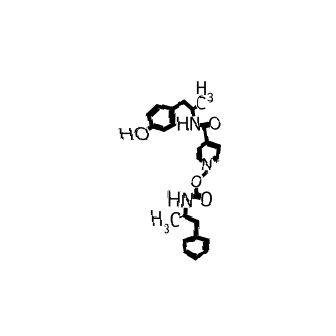 C[C@H](Cc1ccc(O)cc1)NC(=O)c1cc[n+](COC(=O)N[C@@H](C)Cc2ccccc2)cc1